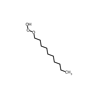 CCCCCCCCCCOOO